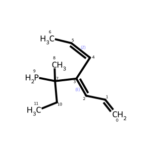 C=C/C=C(\C=C/C)C(C)(P)CC